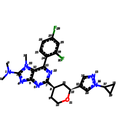 CN(C)c1nc2nc([C@@H]3CCO[C@@H](c4cnn(C5CC5)c4)C3)nc(-c3ccc(F)cc3F)c2n1C